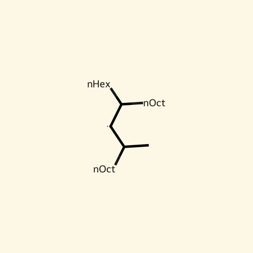 CCCCCCCCC(C)[CH]C(CCCCCC)CCCCCCCC